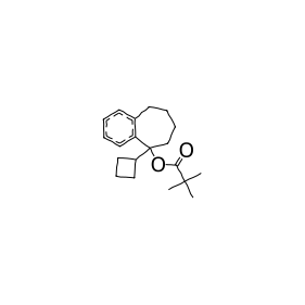 CC(C)(C)C(=O)OC1(C2CCC2)CCCCc2ccccc21